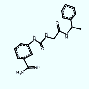 C[C@@H](NC(=O)CNC(=O)Nc1cccc(C(=N)N)c1)c1ccccc1